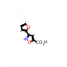 O=C(O)c1cc(-c2ccco2)no1